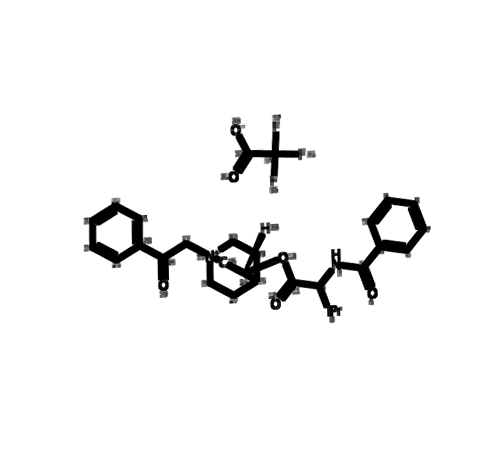 CC(C)C(NC(=O)c1ccccc1)C(=O)O[C@H]1C[N+]2(CC(=O)c3ccccc3)CCC1CC2.O=C([O-])C(F)(F)F